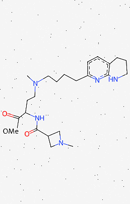 COC(=O)C(CCN(C)CCCCc1ccc2c(n1)NCCC2)NC(=O)C1CN(C)C1